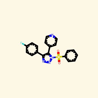 O=S(=O)(c1ccccc1)n1nnc(-c2ccc(F)cc2)c1-c1ccncc1